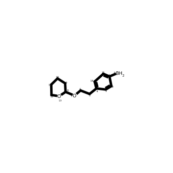 Bc1ccc(CCOC2CCCCO2)cc1